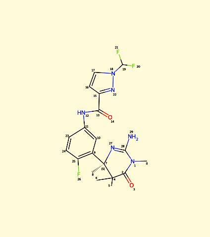 CN1C(=O)C(C)(C)[C@@](C)(c2cc(NC(=O)c3ccn(C(F)F)n3)ccc2F)N=C1N